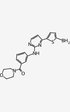 Bc1ccc(-c2ccnc(Nc3cccc(C(=O)N4CCOCC4)c3)n2)s1